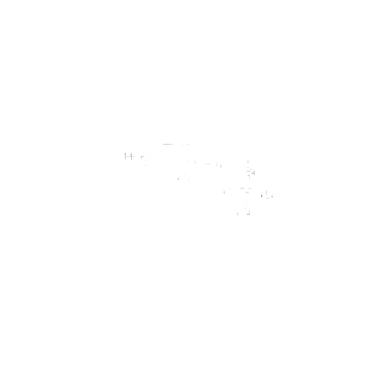 O=C(O)/C=C\C(=O)OCC(Br)(Br)Br